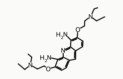 CCN(CC)CCOc1ccc2cc3ccc(OCCN(CC)CC)c(N)c3nc2c1N